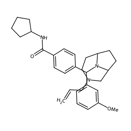 C=CCN1CCC2CCC(C1)N2C(c1ccc(C(=O)NC2CCCC2)cc1)c1cccc(OC)c1